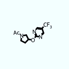 CC(=O)N1CCC(Oc2ncc(C(F)(F)F)cn2)C1